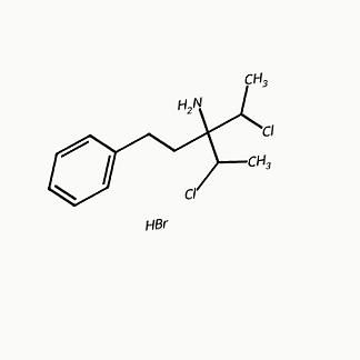 Br.CC(Cl)C(N)(CCc1ccccc1)C(C)Cl